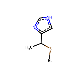 CCSC(C)c1c[nH]cn1